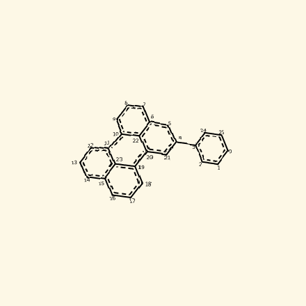 c1ccc(-c2cc3cccc4c5cccc6cccc(c(c2)c34)c65)cc1